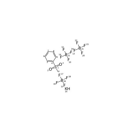 CS(=O)(=O)c1ccccc1.F[B-](F)(F)F.F[B-](F)(F)F.F[B-](F)(F)F.[KH]